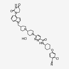 Cl.N#Cc1ccc(O[C@H]2CC[C@H](NC(=O)c3ccc(N4CCC(N5CCC(Cn6ccc7c(N8CCC(=O)NC8=O)cccc76)CC5)CC4)nn3)CC2)cc1Cl